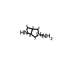 NN1CC2CNC2C1